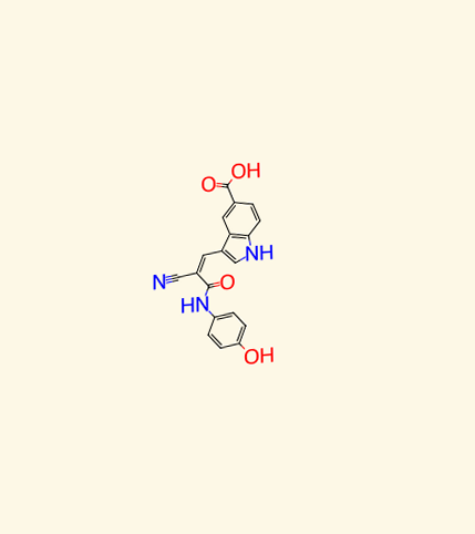 N#CC(=Cc1c[nH]c2ccc(C(=O)O)cc12)C(=O)Nc1ccc(O)cc1